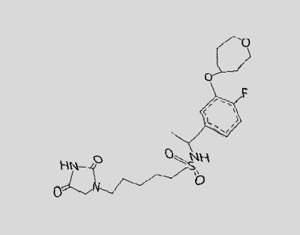 CC(NS(=O)(=O)CCCCCN1CC(=O)NC1=O)c1ccc(F)c(OC2CCOCC2)c1